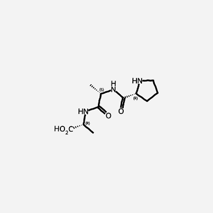 C[C@H](NC(=O)[C@H]1CCCN1)C(=O)N[C@H](C)C(=O)O